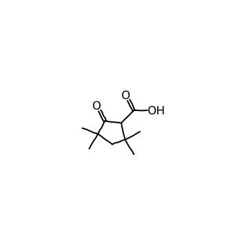 CC1(C)CC(C)(C)C(C(=O)O)C1=O